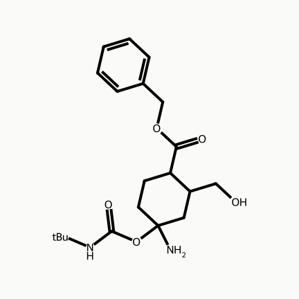 CC(C)(C)NC(=O)OC1(N)CCC(C(=O)OCc2ccccc2)C(CO)C1